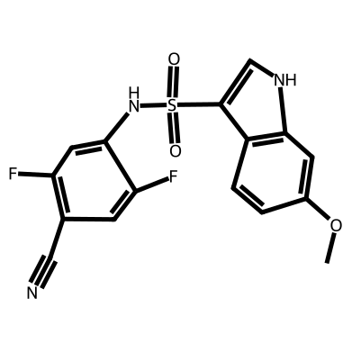 COc1ccc2c(S(=O)(=O)Nc3cc(F)c(C#N)cc3F)c[nH]c2c1